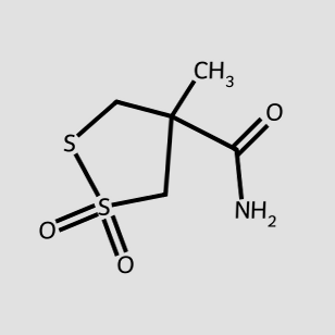 CC1(C(N)=O)CSS(=O)(=O)C1